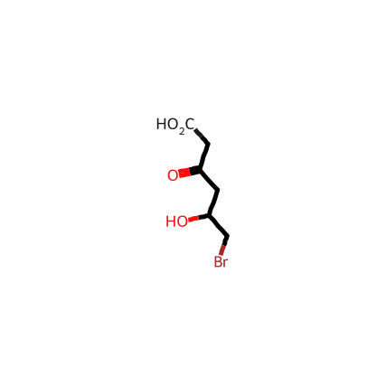 O=C(O)CC(=O)CC(O)CBr